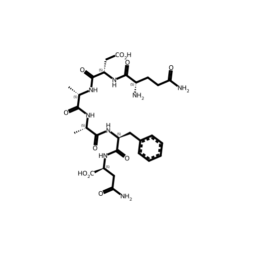 C[C@H](NC(=O)[C@H](C)NC(=O)[C@H](CC(=O)O)NC(=O)[C@@H](N)CCC(N)=O)C(=O)N[C@@H](Cc1ccccc1)C(=O)N[C@@H](CC(N)=O)C(=O)O